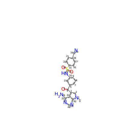 Cn1cc(C(=O)c2cccc(NS(=O)(=O)c3ccc(C#N)cc3)c2)c2c(N)ncnc21